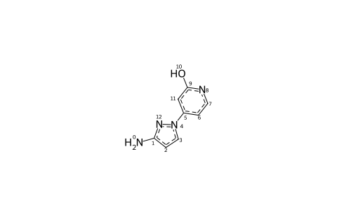 Nc1ccn(-c2ccnc(O)c2)n1